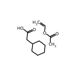 C=COC(C)=O.O=C(O)CC1CCCCC1